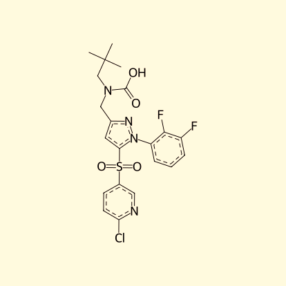 CC(C)(C)CN(Cc1cc(S(=O)(=O)c2ccc(Cl)nc2)n(-c2cccc(F)c2F)n1)C(=O)O